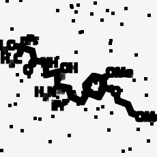 CCCC(C)(C)CC(=O)NC[C@H](O)[C@@H](N)C[C@H](Cc1ccc(OC)c(OCCCOC)c1)C(C)C